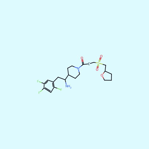 NC(Cc1cc(F)c(F)cc1F)C1CCN(C(=O)CCS(=O)(=O)CC2CCCO2)CC1